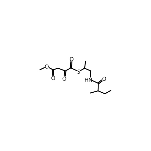 CCC(C)C(=O)NCC(C)SC(=O)C(=O)CC(=O)OC